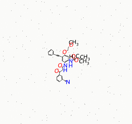 COCCOc1cc(NC(=O)OC(C)(C)C)c(NC(=O)CC(=O)c2cccc(C#N)c2)cc1C#Cc1ccccc1